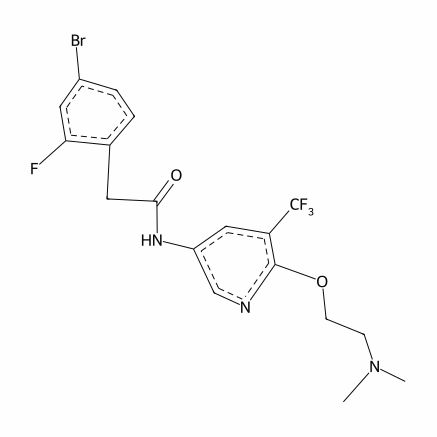 CN(C)CCOc1ncc(NC(=O)Cc2ccc(Br)cc2F)cc1C(F)(F)F